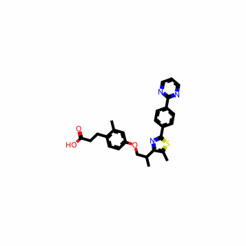 Cc1cc(OCC(C)c2nc(-c3ccc(-c4ncccn4)cc3)sc2C)ccc1CCC(=O)O